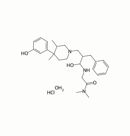 CC1CN(CC(Cc2ccccc2)C(O)NCC(=O)N(C)C)CCC1(C)c1cccc(O)c1.Cl.O